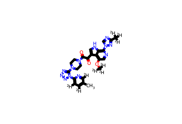 [2H]c1nc(-n2nnnc2N2CCN(C(=O)C(=O)c3c[nH]c4c(-n5cnc(C([2H])([2H])[2H])n5)ncc(OC([2H])([2H])[2H])c34)CC2)c([2H])c([2H])c1C